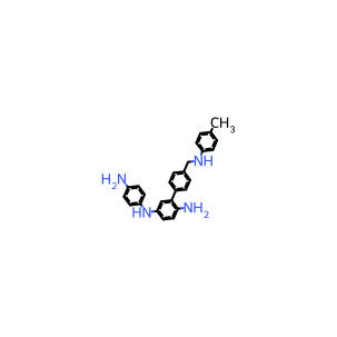 Cc1ccc(NCc2ccc(-c3cc(Nc4ccc(N)cc4)ccc3N)cc2)cc1